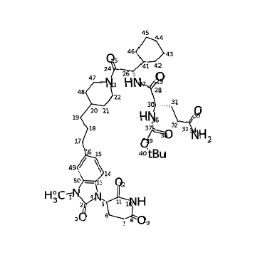 Cn1c(=O)n(C2CCC(=O)NC2=O)c2ccc(CCCC3CCN(C(=O)[C@@H](NC(=O)[C@H](CCC(N)=O)NC(=O)OC(C)(C)C)C4CCCCC4)CC3)cc21